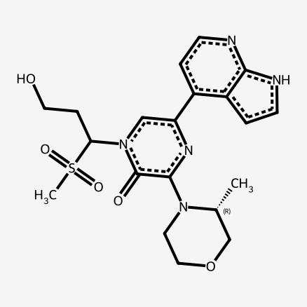 C[C@@H]1COCCN1c1nc(-c2ccnc3[nH]ccc23)cn(C(CCO)S(C)(=O)=O)c1=O